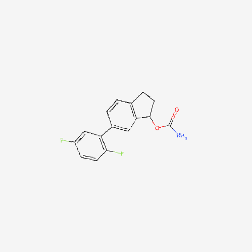 NC(=O)OC1CCc2ccc(-c3cc(F)ccc3F)cc21